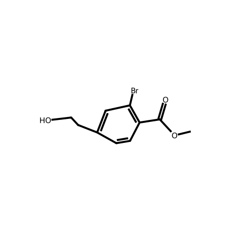 COC(=O)c1ccc(CCO)cc1Br